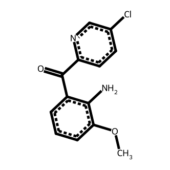 COc1cccc(C(=O)c2ccc(Cl)cn2)c1N